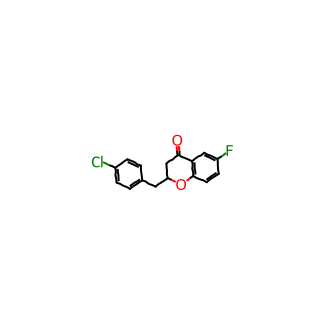 O=C1CC(Cc2ccc(Cl)cc2)Oc2ccc(F)cc21